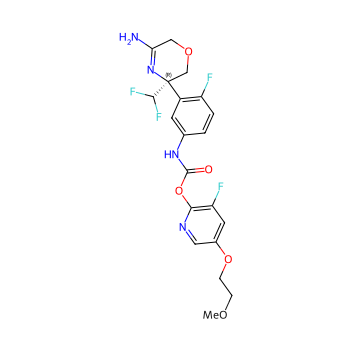 COCCOc1cnc(OC(=O)Nc2ccc(F)c([C@]3(C(F)F)COCC(N)=N3)c2)c(F)c1